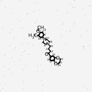 COc1ccc(N2CCN(CCCC(=O)c3ccc4c(c3)OCC=CO4)CC2)cc1C